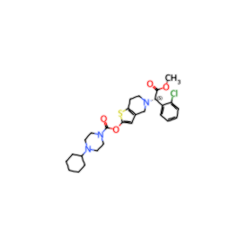 COC(=O)[C@H](c1ccccc1Cl)N1CCc2sc(OC(=O)N3CCN(C4CCCCC4)CC3)cc2C1